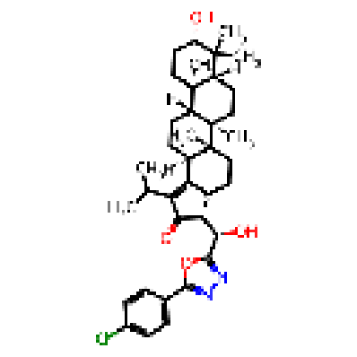 CC(C)C1=C2C(CC[C@]3(C)[C@@H]2CC[C@@H]2[C@@]4(C)CC[C@H](O)C(C)(C)[C@@H]4CC[C@]23C)[C@H]([C@@H](O)c2nnc(-c3ccc(Cl)cc3)o2)C1=O